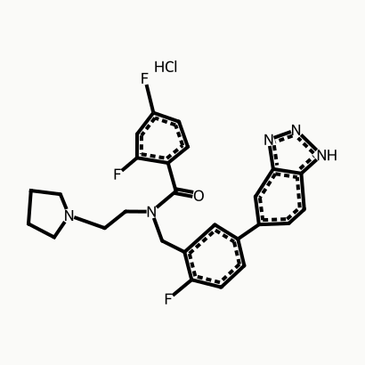 Cl.O=C(c1ccc(F)cc1F)N(CCN1CCCC1)Cc1cc(-c2ccc3[nH]nnc3c2)ccc1F